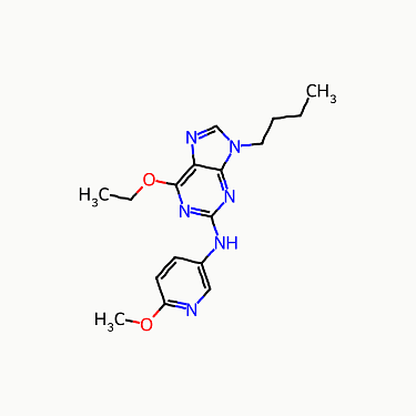 CCCCn1cnc2c(OCC)nc(Nc3ccc(OC)nc3)nc21